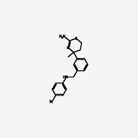 CCc1ccc(NCc2cccc(C3(C)CCSC(N)=N3)c2)cc1